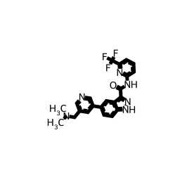 CN(C)Cc1cncc(-c2ccc3[nH]nc(C(=O)Nc4cccc(C(F)(F)F)n4)c3c2)c1